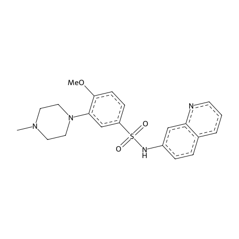 COc1ccc(S(=O)(=O)Nc2ccc3cccnc3c2)cc1N1CCN(C)CC1